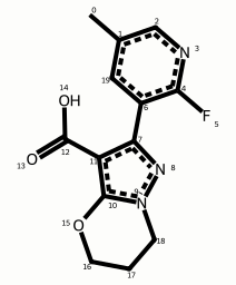 Cc1cnc(F)c(-c2nn3c(c2C(=O)O)OCCC3)c1